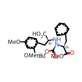 COC(=O)[C@H](Cc1ccccc1)N(N[C@@H](Cc1ccc(OC)cc1OC)C(=O)O)C(=O)OC(C)(C)C